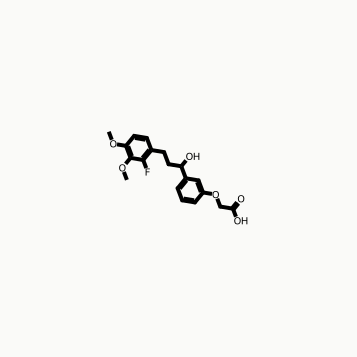 COc1ccc(CCC(O)c2cccc(OCC(=O)O)c2)c(F)c1OC